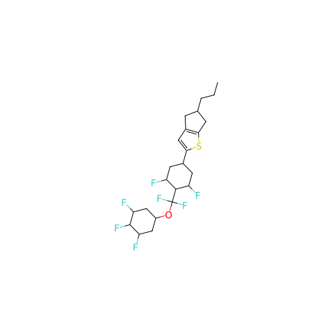 CCCC1Cc2cc(C3CC(F)C(C(F)(F)OC4CC(F)C(F)C(F)C4)C(F)C3)sc2C1